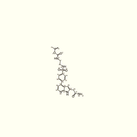 C=C(C)OC(=O)NCCNS(=O)(=O)c1ccc(-c2ccnc3[nH]c(CC(N)=O)cc23)cc1